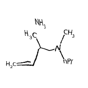 C=CC(C)N(C)CCC.N